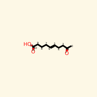 CC(=O)CCC=CCCCC(=O)O